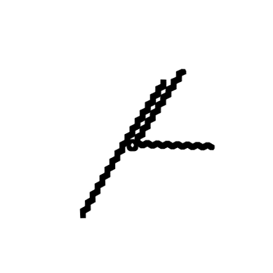 CCCCCCCCCCCCCCCCCCC(CCCCCCCCCCCCCCC)OC(CCCCCCCCCCCCCCC)CCCCCCCCCCCCCCCCCC